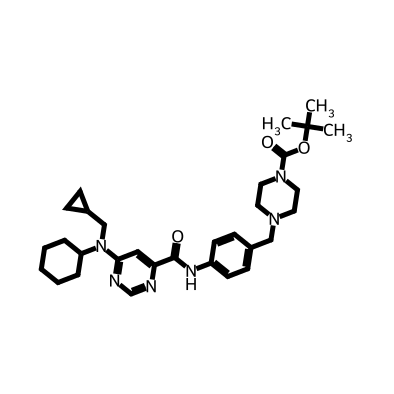 CC(C)(C)OC(=O)N1CCN(Cc2ccc(NC(=O)c3cc(N(CC4CC4)C4CCCCC4)ncn3)cc2)CC1